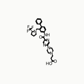 O=C(O)CCN1CCN(c2cnc(C(=O)Nc3ccc(-c4ccccc4)c(CN4CCC[C@H]4C(F)(F)F)c3)cn2)CC1